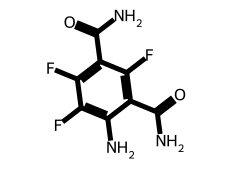 NC(=O)c1c(N)c(F)c(F)c(C(N)=O)c1F